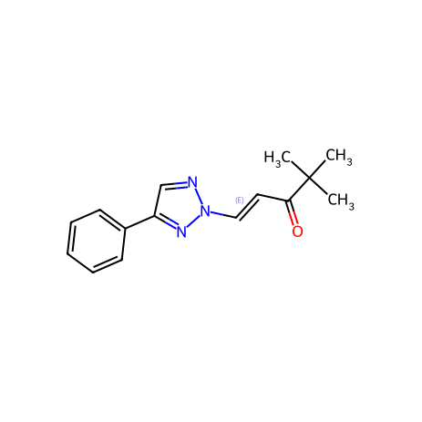 CC(C)(C)C(=O)/C=C/n1ncc(-c2ccccc2)n1